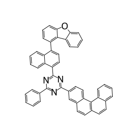 c1ccc(-c2nc(-c3ccc4c(ccc5ccc6ccccc6c54)c3)nc(-c3ccc(-c4cccc5oc6ccccc6c45)c4ccccc34)n2)cc1